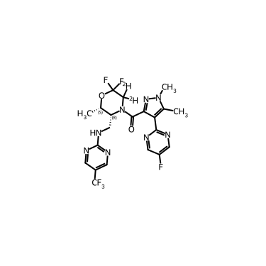 [2H]C1([2H])N(C(=O)c2nn(C)c(C)c2-c2ncc(F)cn2)[C@H](CNc2ncc(C(F)(F)F)cn2)[C@H](C)OC1(F)F